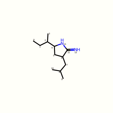 CCC(C)C1CC(CC(C)C)C(=N)N1